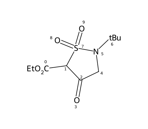 CCOC(=O)C1C(=O)CN(C(C)(C)C)S1(=O)=O